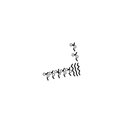 CCCCCCC.CCCCCCC.CCCCCCC.CCOC(C)=O.CCOC(C)=O.CCOC(C)=O.CCOC(C)=O.CCOC(C)=O.CCOC(C)=O.CCOC(C)=O